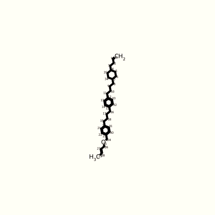 C=CCCC1CCC(CCCCc2ccc(CCCCc3ccc(COCC=CC)cc3)cc2)CC1